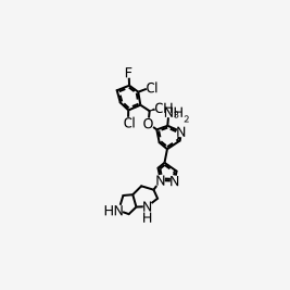 C[C@@H](Oc1cc(-c2cnn(C3CNC4CNCC4C3)c2)cnc1N)c1c(Cl)ccc(F)c1Cl